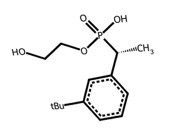 C[C@H](c1cccc(C(C)(C)C)c1)P(=O)(O)OCCO